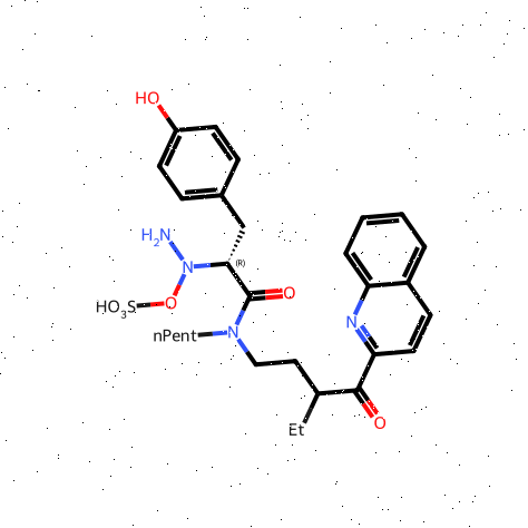 CCCCCN(CCC(CC)C(=O)c1ccc2ccccc2n1)C(=O)[C@@H](Cc1ccc(O)cc1)N(N)OS(=O)(=O)O